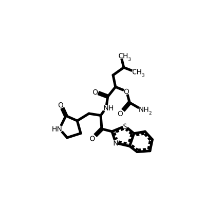 CC(C)CC(OC(N)=O)C(=O)NC(CC1CCNC1=O)C(=O)c1nc2ccccc2s1